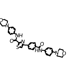 O=C(Nc1ccc(N2CCOCC2)cc1)c1ccc(-c2csc(C(=O)Nc3ccc(N4CCOCC4)cc3)n2)cc1